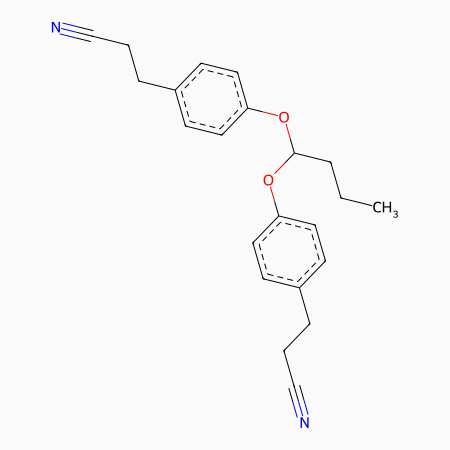 CCCC(Oc1ccc(CCC#N)cc1)Oc1ccc(CCC#N)cc1